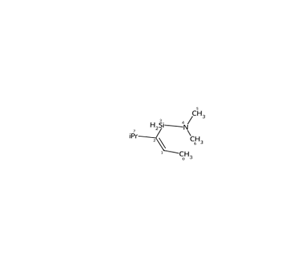 CC=C([SiH2]N(C)C)C(C)C